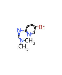 CN(C)/C=N\c1ccc(Br)cn1